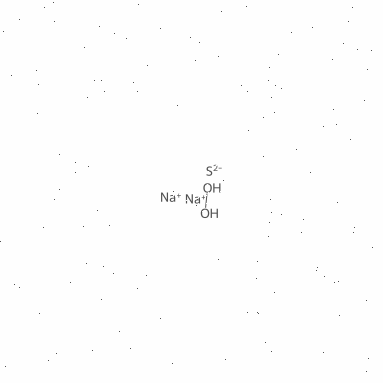 OO.[Na+].[Na+].[S-2]